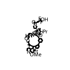 CCn1c(-c2cccnc2[C@H](C)OC)c2c3cc(ccc31)-c1cccc(c1)C[C@H](NC(=O)[C@H](C(C)C)N(C)C(=O)[C@H]1CCN(C(=O)C#CC(O)(F)F)C1)C(=O)N1CCC[C@H](N1)C(=O)OCC(C)(C)C2